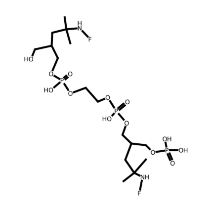 CC(C)(CC(CO)COP(=O)(O)OCCOP(=O)(O)OCC(COP(=O)(O)O)CC(C)(C)NF)NF